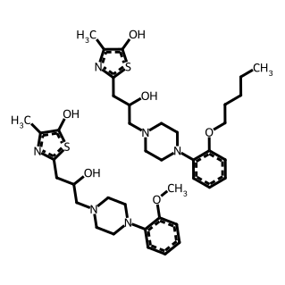 CCCCCOc1ccccc1N1CCN(CC(O)Cc2nc(C)c(O)s2)CC1.COc1ccccc1N1CCN(CC(O)Cc2nc(C)c(O)s2)CC1